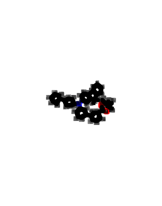 CC1(C)c2ccccc2-c2ccc(N(c3ccc(-c4ccccc4)cc3)c3cccc(-c4cccc(B5OC(C)(C)C(C)(C)O5)c4)c3)cc21